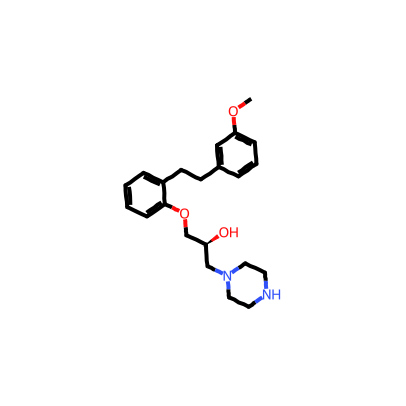 COc1cccc(CCc2ccccc2OC[C@@H](O)CN2CCNCC2)c1